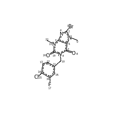 Cn1c(Br)nc2c1c(=O)n(Cc1ccc(Cl)c(F)c1)c(=O)n2C